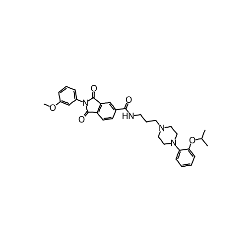 COc1cccc(N2C(=O)c3ccc(C(=O)NCCCN4CCN(c5ccccc5OC(C)C)CC4)cc3C2=O)c1